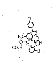 O=C(NC(Cn1c(-c2ccc(Cl)cc2)nn(Cc2ncn(-c3ncccc3Cl)n2)c1=O)C(F)(F)F)C1CCN1C(=O)O